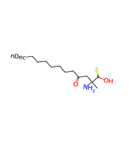 CCCCCCCCCCCCCCCCCC(=O)CC(C)(N)C(O)=S